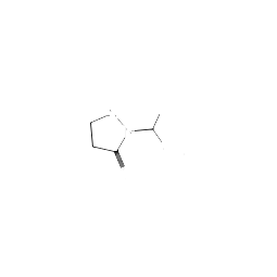 CC(C)N1NCCC1=O